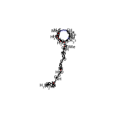 CO[C@H]1C[C@@H]2CC[C@@H](C)[C@@](O)(O2)C(=O)C(=O)N2CCCC[C@H]2C(=O)O[C@H]([C@H](C)C[C@@H]2CC[C@@H](OC(=O)NCc3cnc(N4CCN(C(=O)CCOCCN5CCN(c6ncc(C(=O)NCCOCCC(=O)NCCCCn7nc(-c8ccc9oc(N)nc9c8)c8c(N)ncnc87)cn6)CC5)CC4)nc3)[C@H](OC)C2)CC(=O)[C@H](C)/C=C(\C)[C@@H](O)[C@@H](O)C(=O)[C@H](C)C[C@H](C)/C=C/C=C/C=C/1C